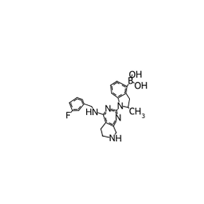 CC1Cc2c(B(O)O)cccc2N1c1nc2c(c(NCc3cccc(F)c3)n1)CCNC2